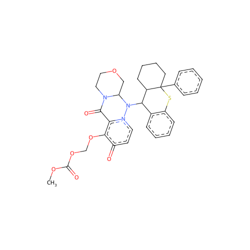 COC(=O)OCOc1c2n(ccc1=O)N(C1c3ccccc3SC3(c4ccccc4)CCCCC13)C1COCCN1C2=O